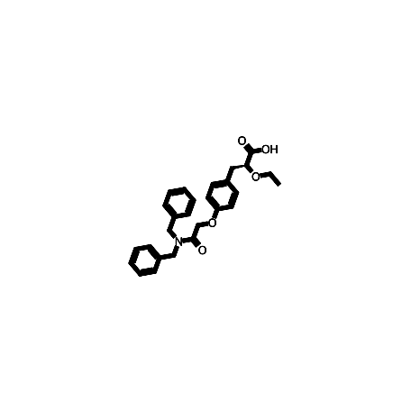 CCO[C@@H](Cc1ccc(OCC(=O)N(Cc2ccccc2)Cc2ccccc2)cc1)C(=O)O